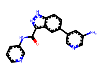 Nc1cncc(-c2ccc3[nH]nc(C(=O)Nc4cccnc4)c3c2)c1